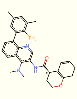 Cc1cc(C)c(P)c(-c2cccc3c(N(C)C)c(NC(=O)[C@@H]4CCOC5=C4C=CCC5)cnc23)c1